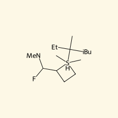 CCC(C)C(C)(CC)[SH]1(C)(C)CCC1C(F)NC